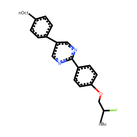 CCCCCCCCc1ccc(-c2cnc(-c3ccc(OCC(F)CCCC)cc3)nc2)cc1